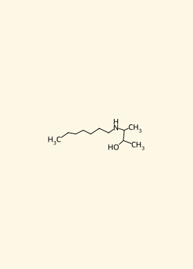 CCCCCCCNC(C)C(C)O